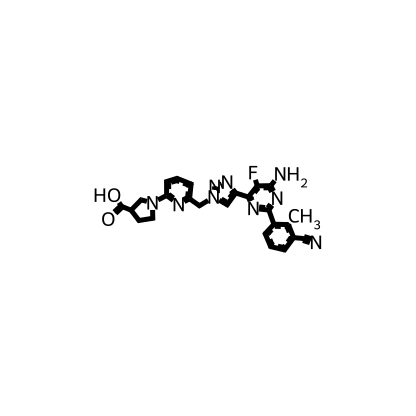 Cc1c(C#N)cccc1-c1nc(N)c(F)c(-c2cn(Cc3cccc(N4CCC(C(=O)O)C4)n3)nn2)n1